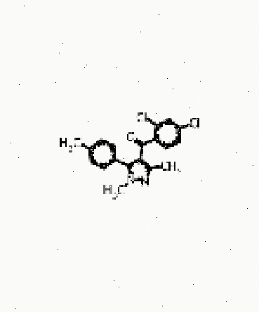 Cc1ccc(-c2c(C(=O)c3ccc(Cl)cc3Cl)c(C)nn2C)cc1